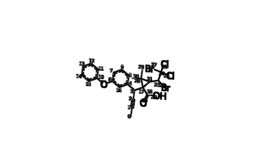 CC#CC(c1cccc(Oc2ccccc2)c1)C1(C(=O)O)C(C(Br)C(Cl)(Cl)Br)C1(C)C